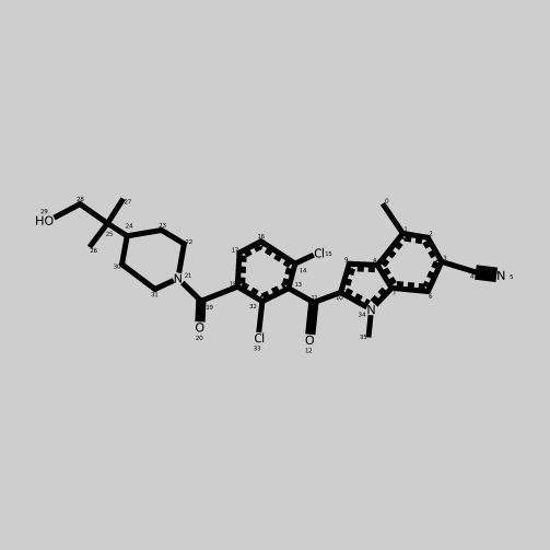 Cc1cc(C#N)cc2c1cc(C(=O)c1c(Cl)ccc(C(=O)N3CCC(C(C)(C)CO)CC3)c1Cl)n2C